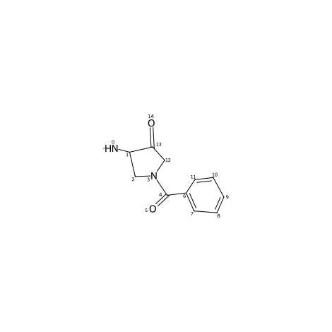 [NH]C1CN(C(=O)c2ccccc2)CC1=O